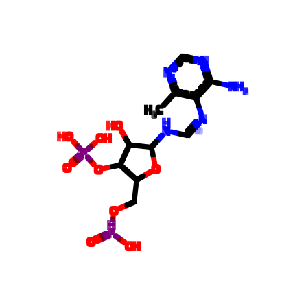 Cc1ncnc(N)c1/N=C\NC1OC(CO[PH](=O)O)C(OP(=O)(O)O)C1O